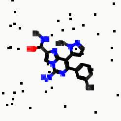 CCCn1nccc1-c1c(-c2cccc(C#N)c2)nc(N)n2cc(C(O)NCC)nc12